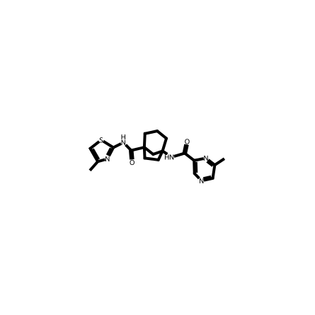 Cc1cncc(C(=O)NC23CCCC(C(=O)Nc4nc(C)cs4)(CC2)C3)n1